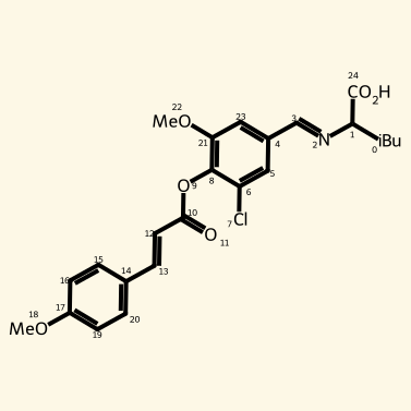 CCC(C)C(/N=C/c1cc(Cl)c(OC(=O)/C=C/c2ccc(OC)cc2)c(OC)c1)C(=O)O